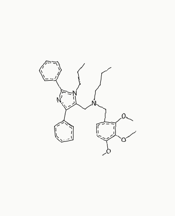 CCCCN(Cc1ccc(OC)c(OC)c1OC)Cc1c(-c2ccccc2)nc(-c2ccccc2)n1CCC